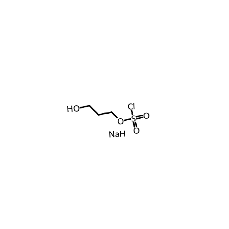 O=S(=O)(Cl)OCCCO.[NaH]